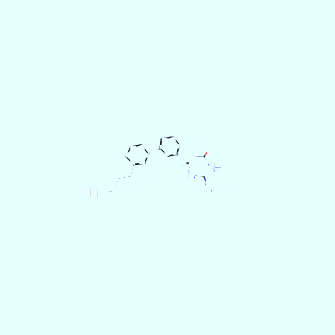 CN1C(=N)NC(C)(c2cccc(-c3cccc(CCCO)c3)c2)CC1=O